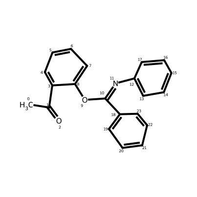 CC(=O)c1ccccc1OC(=Nc1ccccc1)c1ccccc1